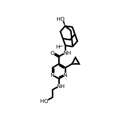 O=C(N[C@H]1C2CC3CC1C[C@@](O)(C3)C2)c1cnc(NCCO)nc1C1CC1